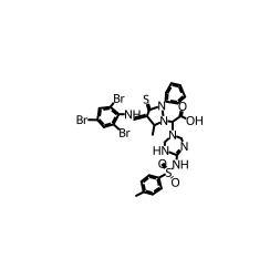 Cc1ccc(S(=O)(=O)NC2=NCN(C(C(=O)O)N3C(C)C(=CNc4c(Br)cc(Br)cc4Br)C(=S)N3c3ccccc3)CN2)cc1